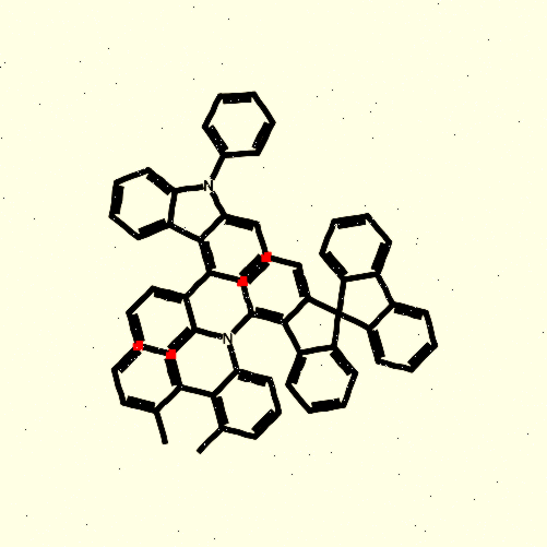 Cc1ccccc1-c1c(C)cccc1N(c1ccccc1-c1cccc2c1c1ccccc1n2-c1ccccc1)c1cccc2c1-c1ccccc1C21c2ccccc2-c2ccccc21